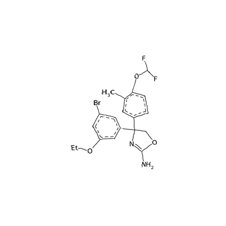 CCOc1cc(Br)cc(C2(c3ccc(OC(F)F)c(C)c3)COC(N)=N2)c1